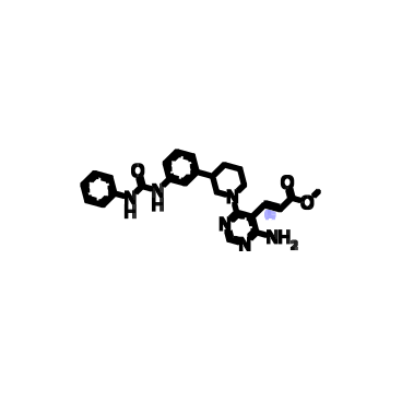 COC(=O)/C=C/c1c(N)ncnc1N1CCCC(c2cccc(NC(=O)Nc3ccccc3)c2)C1